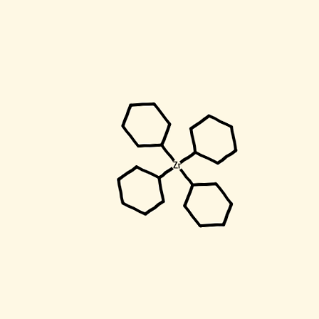 C1CC[CH]([Zr]([CH]2CCCCC2)([CH]2CCCCC2)[CH]2CCCCC2)CC1